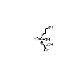 OCCO[PH](O)(O)OP(O)O